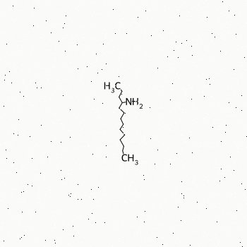 CCCCCCCCCCC(N)CCC